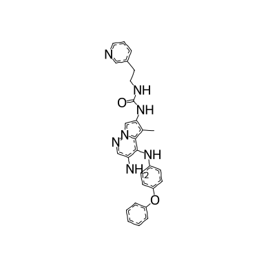 Cc1c(NC(=O)NCCc2cccnc2)cn2ncc(N)c(Nc3ccc(Oc4ccccc4)cc3)c12